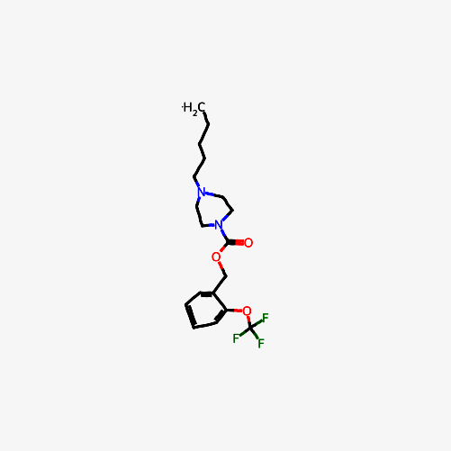 [CH2]CCCCN1CCN(C(=O)OCc2ccccc2OC(F)(F)F)CC1